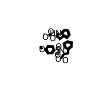 COC(=O)C1Cc2ccccc2N1S(=O)(=O)c1ccc(OC)cc1.COC(=O)OC1Cc2ccccc2N1